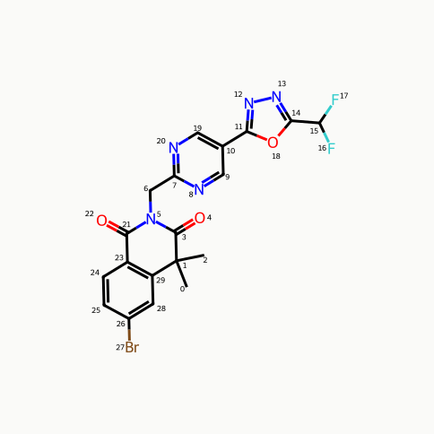 CC1(C)C(=O)N(Cc2ncc(-c3nnc(C(F)F)o3)cn2)C(=O)c2ccc(Br)cc21